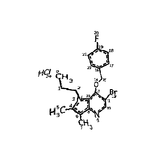 CCCn1c(C)c(C)c2ncc(Br)c(OCc3ccc(F)cc3)c21.Cl